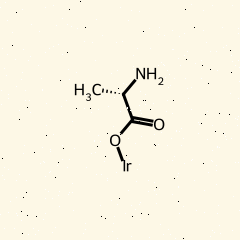 C[C@H](N)C(=O)[O][Ir]